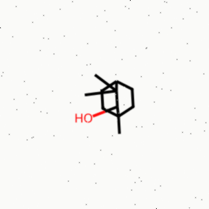 CC12CCC(CC1)C(C)(C)C2O